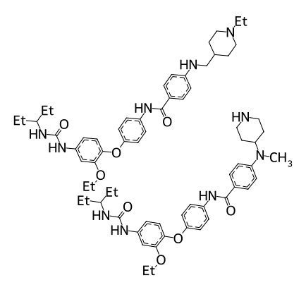 CCOc1cc(NC(=O)NC(CC)CC)ccc1Oc1ccc(NC(=O)c2ccc(N(C)C3CCNCC3)cc2)cc1.CCOc1cc(NC(=O)NC(CC)CC)ccc1Oc1ccc(NC(=O)c2ccc(NCC3CCN(CC)CC3)cc2)cc1